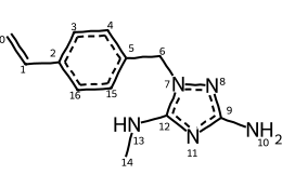 C=Cc1ccc(Cn2nc(N)nc2NC)cc1